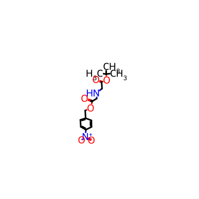 CC(C)(C)OC(=O)CNCC(=O)OCc1ccc([N+](=O)[O-])cc1